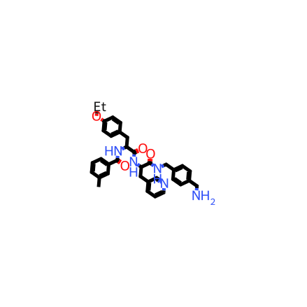 CCOc1ccc(CC(NC(=O)c2cccc(C)c2)C(=O)NC(Cc2cccnc2)C(=O)NCc2ccc(CN)cc2)cc1